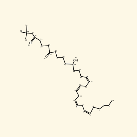 CCCCC/C=C\C/C=C\C/C=C\C/C=C\CCCC(O)CCCCC(=O)CCCC(=O)CC(C)(C)C